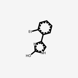 CCc1ccccc1-c1c[nH]c(O)n1